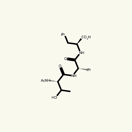 CC(=O)N[C@H](C(=O)N[C@H](C(=O)N[C@@H](CC(C)C)C(=O)O)C(C)C)C(C)O